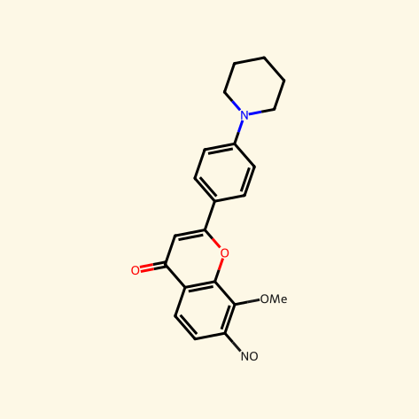 COc1c(N=O)ccc2c(=O)cc(-c3ccc(N4CCCCC4)cc3)oc12